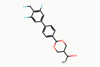 CCCC(O)C1COC(c2ccc(-c3cc(F)c(CF)c(F)c3)cc2)OC1